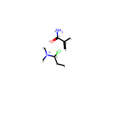 C=C(C)C(N)=O.CCC(Cl)N(C)C